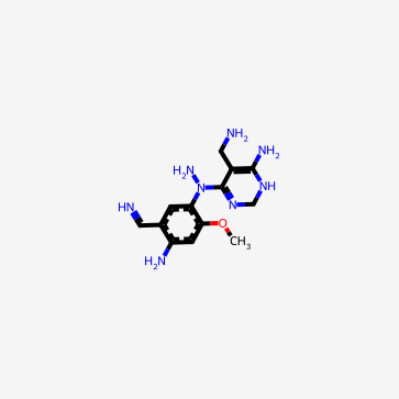 COc1cc(N)c(C=N)cc1N(N)C1=NCNC(N)=C1CN